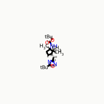 CC(C)(C)OC(=O)N[C@@]1(C)CC[C@@H](Cc2noc(C(C)(C)C)n2)C1(C)C